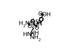 N=C(N)NCCC[C@@H](C(=O)c1nc2ccc(C(=O)O)cc2s1)N1CCC[C@H]1C(N)=O